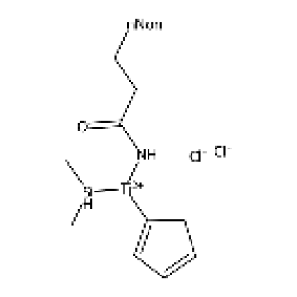 CCCCCCCCCCCC(=O)[NH][Ti+2]([C]1=CC=CC1)[SiH](C)C.[Cl-].[Cl-]